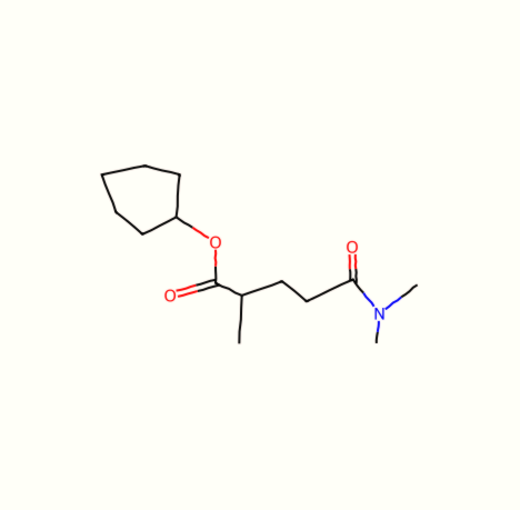 CC(CCC(=O)N(C)C)C(=O)OC1CCCCC1